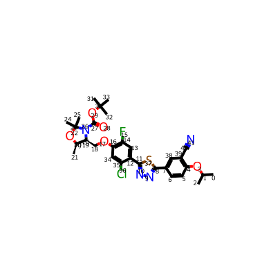 CC(C)Oc1ccc(-c2nnc(-c3cc(F)c(OC[C@H]4[C@@H](C)OC(C)(C)N4C(=O)OC(C)(C)C)cc3Cl)s2)cc1C#N